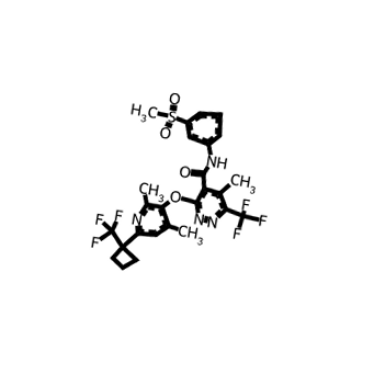 Cc1cc(C2(C(F)(F)F)CCC2)nc(C)c1Oc1nnc(C(F)(F)F)c(C)c1C(=O)Nc1cccc(S(C)(=O)=O)c1